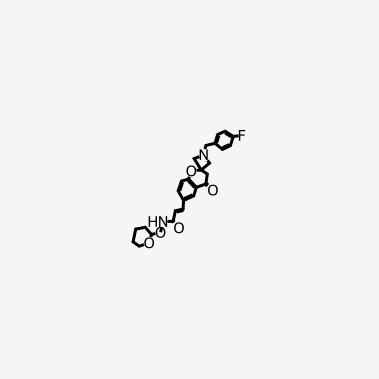 O=C(C=Cc1ccc2c(c1)C(=O)CC1(CN(Cc3ccc(F)cc3)C1)O2)NOC1CCCCO1